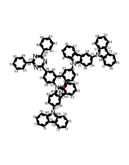 N#Cc1ccc(-n2c3ccccc3c3cc(-n4c5ccccc5c5ccccc54)ccc32)cc1-c1cc(-c2nc(-c3ccccc3)nc(-c3ccccc3)n2)ccc1-n1c2ccccc2c2cc(-n3c4ccccc4c4ccccc43)ccc21